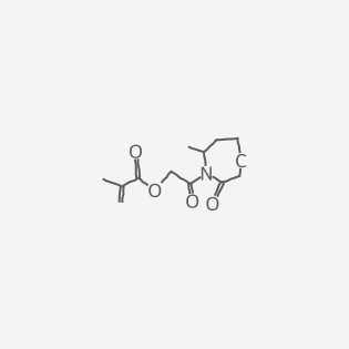 C=C(C)C(=O)OCC(=O)N1C(=O)CCCCC1C